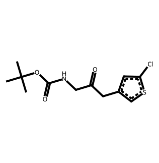 CC(C)(C)OC(=O)NCC(=O)Cc1csc(Cl)c1